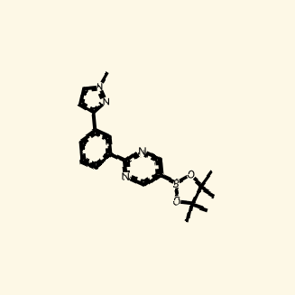 Cn1ccc(-c2cccc(-c3ncc(B4OC(C)(C)C(C)(C)O4)cn3)c2)n1